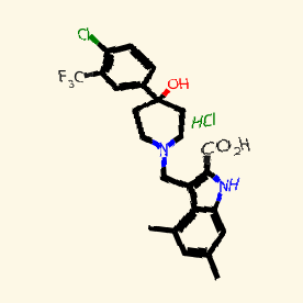 Cc1cc(C)c2c(CN3CCC(O)(c4ccc(Cl)c(C(F)(F)F)c4)CC3)c(C(=O)O)[nH]c2c1.Cl